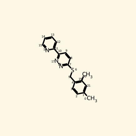 Cc1ccc(CSc2ccc(-c3ccccn3)nn2)c(C)c1